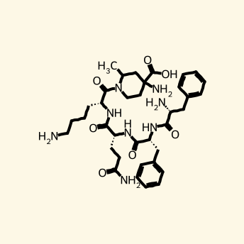 CC1CC(N)(C(=O)O)CCN1C(=O)[C@@H](CCCCN)NC(=O)[C@@H](CCC(N)=O)NC(=O)[C@@H](Cc1ccccc1)NC(=O)[C@H](N)Cc1ccccc1